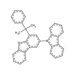 C[Si](C)(c1ccccc1)c1cc(-n2c3ccccc3c3ccccc32)cc2c1oc1ccccc12